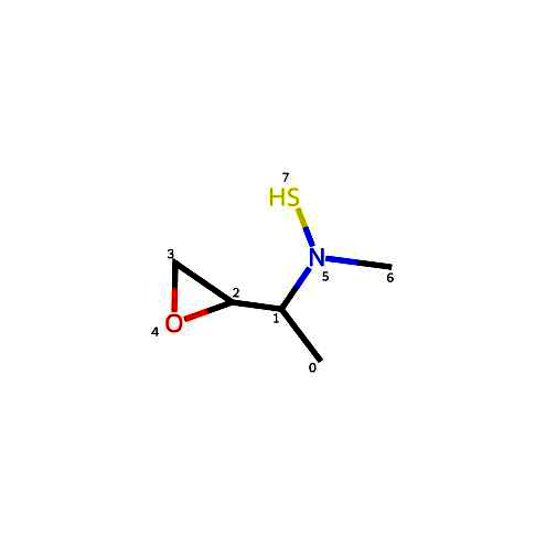 CC(C1CO1)N(C)S